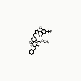 COCCN1C(=O)C(CC2CCCCC2)NC(=O)C12CCN(Cc1ccc(-c3c(Cl)cc(C(F)(F)F)cc3Cl)o1)CC2